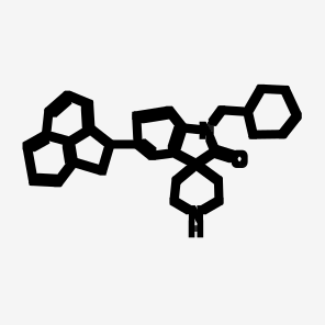 O=C1N(CC2CCCCC2)c2ccc(C3Cc4cccc5cccc3c45)cc2C12CCNCC2